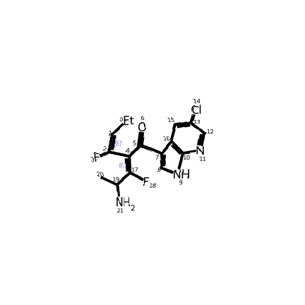 CC/C=C(F)\C(C(=O)c1c[nH]c2ncc(Cl)cc12)=C(\F)C(C)N